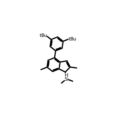 CC1=Cc2c(-c3cc(C(C)(C)C)cc(C(C)(C)C)c3)cc(C)cc2C1[SiH](C)C